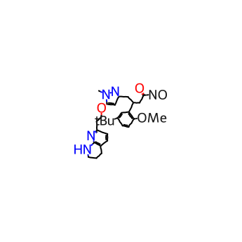 COc1ccc(C(C)(C)C)cc1C(CC(=O)N=O)Cc1cc(OCCc2ccc3c(n2)NCCC3)n(C)n1